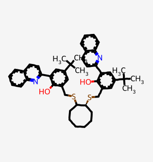 CC(C)(C)c1cc(CSC2CCCCCC[C@@H]2SCc2cc(C(C)(C)C)cc(-c3ccc4ccccc4n3)c2O)c(O)c(-c2ccc3ccccc3n2)c1